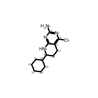 Nc1nc(Cl)c2c(n1)NC(C1CCCCC1)CC2